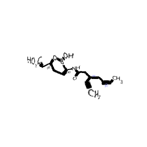 C=C/C(=C\C=C/C)CC(=O)N[C@H]1CC[C@@H](CC(=O)O)OB1O